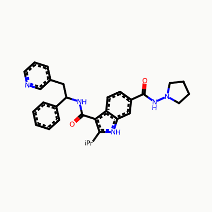 CC(C)c1[nH]c2cc(C(=O)NN3CCCC3)ccc2c1C(=O)NC(Cc1cccnc1)c1ccccc1